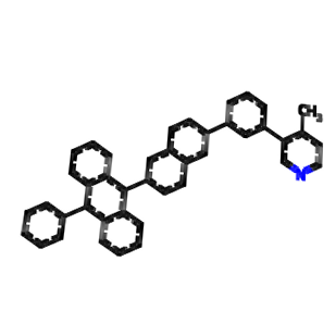 Cc1ccncc1-c1cccc(-c2ccc3cc(-c4c5ccccc5c(-c5ccccc5)c5ccccc45)ccc3c2)c1